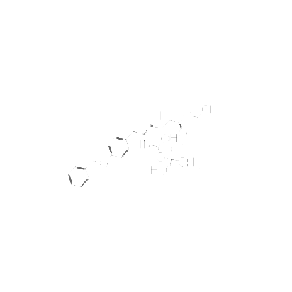 CCOC(=O)CC[C@H](O)[C@H](Cc1ccc(OCc2ccccc2)cc1)NC(=O)OC(C)(C)C